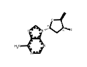 C=C1O[C@@H](n2cnc3c(N)ncnc32)C[C@@H]1F